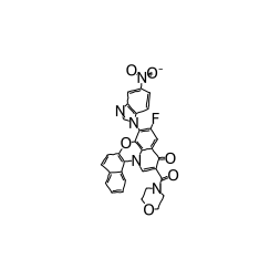 O=C(c1cn2c3c(c(-n4cnc5cc([N+](=O)[O-])ccc54)c(F)cc3c1=O)Oc1ccc3ccccc3c1-2)N1CCOCC1